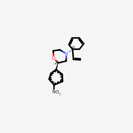 C=C[C@@]1(N2CCO[C@H](c3ccc([N+](=O)[O-])cc3)C2)C=CC=CC1